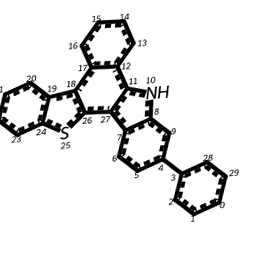 c1ccc(-c2ccc3c(c2)[nH]c2c4ccccc4c4c5ccccc5sc4c32)cc1